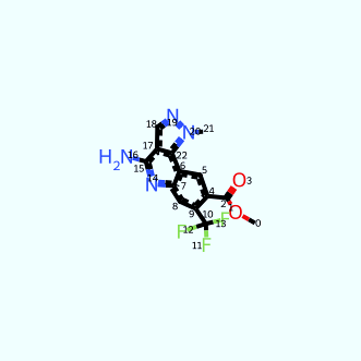 COC(=O)c1cc2c(cc1C(F)(F)F)nc(N)c1cnn(C)c12